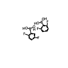 OB(O)c1c(F)cccc1F.OB(O)c1cc(F)ccc1F